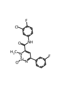 CN1C(C(=O)Nc2ccc(F)c(Cl)c2)=CC(c2cccc(F)c2)=N[S+]1[O-]